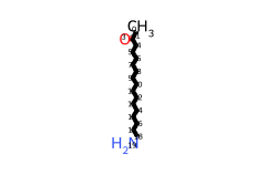 CCC(=O)CCCCCCCCCCCCCCCN